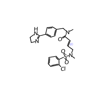 CN(Cc1ccc(C2=NCCN2)cc1)C(=O)/C=C/CN(C)S(=O)(=O)c1ccccc1Cl